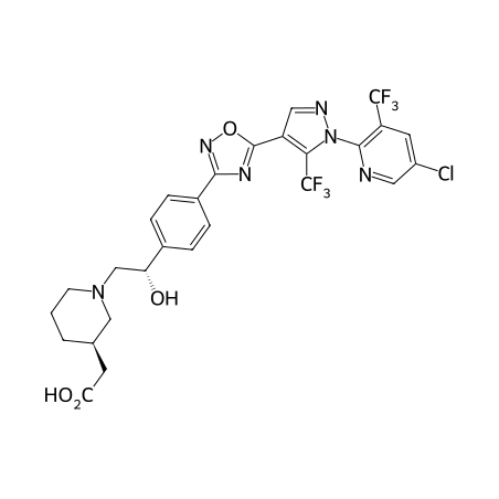 O=C(O)C[C@H]1CCCN(C[C@@H](O)c2ccc(-c3noc(-c4cnn(-c5ncc(Cl)cc5C(F)(F)F)c4C(F)(F)F)n3)cc2)C1